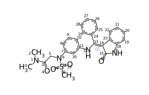 CN(C)C(=O)CN(c1cccc(N/C(=C2\C(=O)Nc3ccccc32)c2ccccc2)c1)S(C)(=O)=O